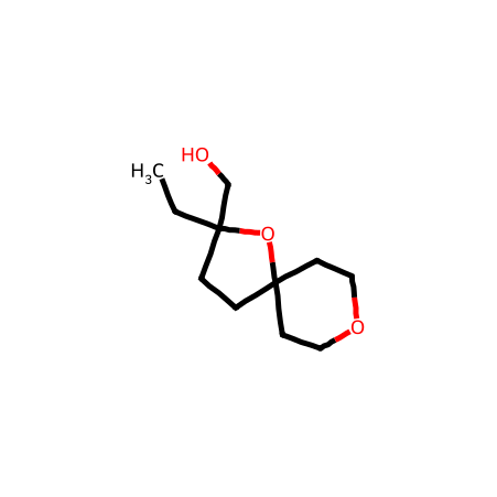 CCC1(CO)CCC2(CCOCC2)O1